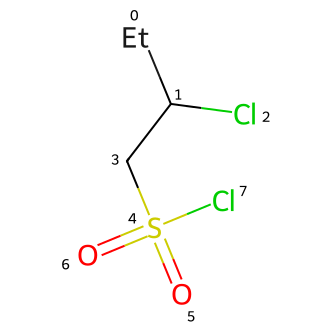 CCC(Cl)CS(=O)(=O)Cl